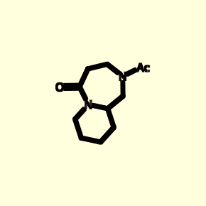 CC(=O)N1CCC(=O)N2CCCCC2C1